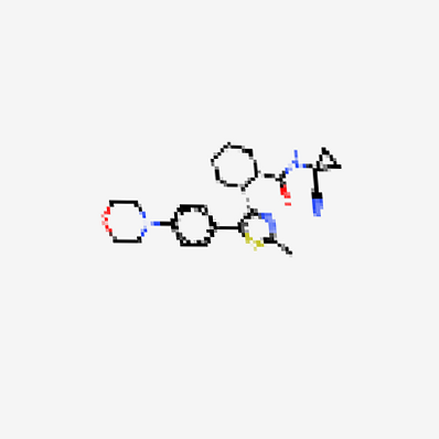 Cc1nc([C@@H]2CCCC[C@H]2C(=O)NC2(C#N)CC2)c(-c2ccc(N3CCOCC3)cc2)s1